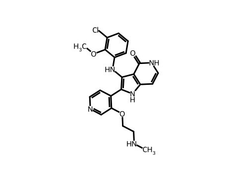 CNCCOc1cnccc1-c1[nH]c2cc[nH]c(=O)c2c1Nc1cccc(Cl)c1OC